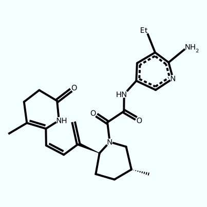 C=C(/C=C\C1=C(C)CCC(=O)N1)[C@@H]1CC[C@@H](C)CN1C(=O)C(=O)Nc1cnc(N)c(CC)c1